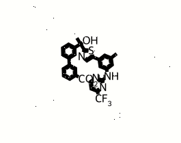 Cc1cc(Nc2nccc(C(F)(F)F)n2)cc(-c2cnc(C(C)(O)c3cccc(-c4cccc(C(=O)O)c4)c3)s2)c1